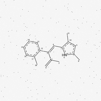 C=C(C)/C(=C\c1[nH]c(C)cc1C)c1ccccc1C